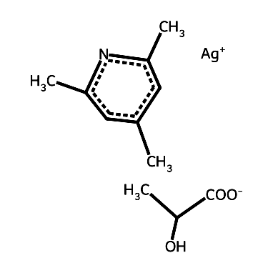 CC(O)C(=O)[O-].Cc1cc(C)nc(C)c1.[Ag+]